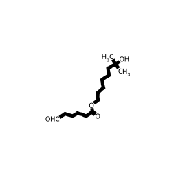 CC(C)(O)CCCCCCOC(=O)CCCCC=O